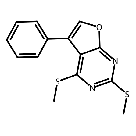 CSc1nc(SC)c2c(-c3ccccc3)coc2n1